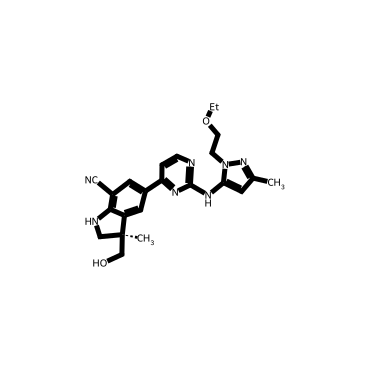 CCOCCn1nc(C)cc1Nc1nccc(-c2cc(C#N)c3c(c2)[C@@](C)(CO)CN3)n1